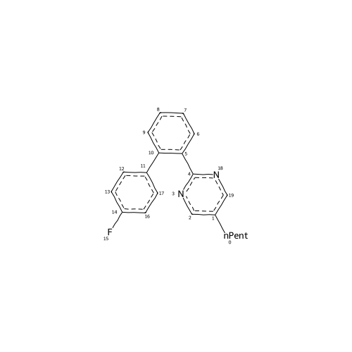 CCCCCc1cnc(-c2ccccc2-c2ccc(F)cc2)nc1